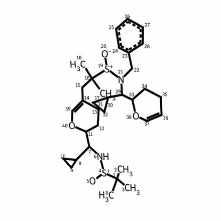 CC(C)(C)[S+]([O-])NC(C1CC1)C1CCC(CC(C)(C)[S+]([O-])N(Cc2ccccc2)C(C2CC2)C2CCC=CO2)=CO1